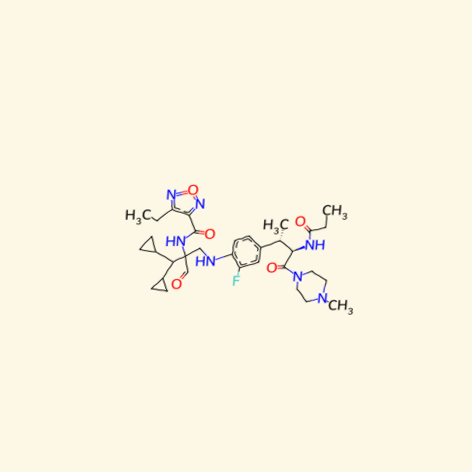 CCC(=O)N[C@@H](C(=O)N1CCN(C)CC1)[C@@H](C)c1ccc(NCC(C=O)(NC(=O)c2nonc2CC)C(C2CC2)C2CC2)c(F)c1